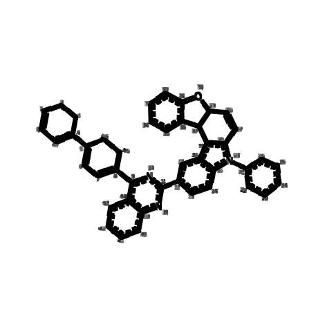 C1=CCCC(C2=CC=C(c3nc(-c4ccc5c(c4)c4c(n5-c5ccccc5)C=CC5Oc6ccccc6C45)nc4ccccc34)CC2)=C1